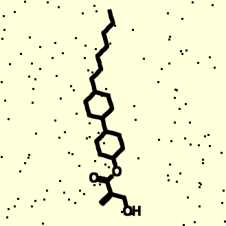 C=C(CO)C(=O)OC1CCC(C2CCC(CCCCCCC)CC2)CC1